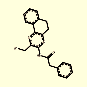 CC(C)Cc1nc2c(nc1NC(=O)Cc1ccccc1)CCc1ccccc1-2